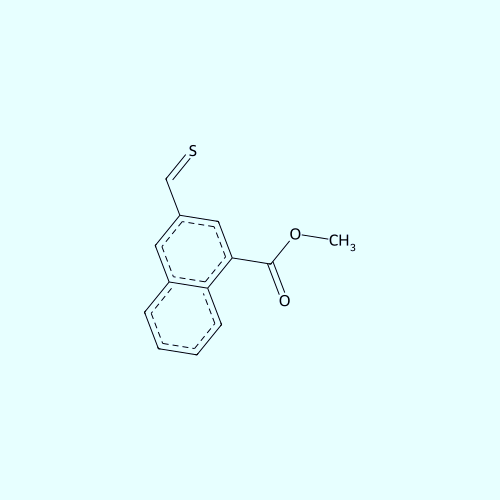 COC(=O)c1cc(C=S)cc2ccccc12